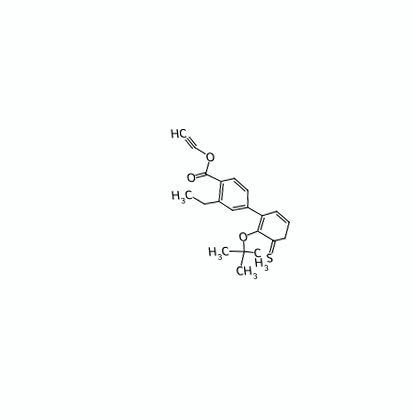 C#COC(=O)c1ccc(C2=C(OC(C)(C)C)C(=S)CC=C2)cc1CC